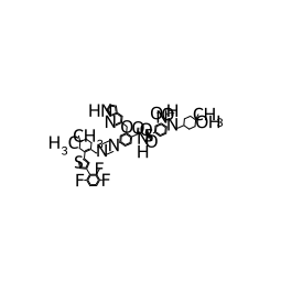 CC1(C)CCC(CN2CCN(c3ccc(C(=O)NS(=O)(=O)c4ccc(NCC5CCC(C)(O)CC5)c([N+](=O)[O-])c4)c(Oc4cnc5[nH]ccc5c4)c3)CC2)=C(c2cc(-c3c(F)ccc(F)c3F)cs2)C1